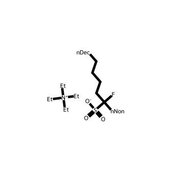 CCCCCCCCCCCCCCC(F)(CCCCCCCCC)S(=O)(=O)[O-].CC[N+](CC)(CC)CC